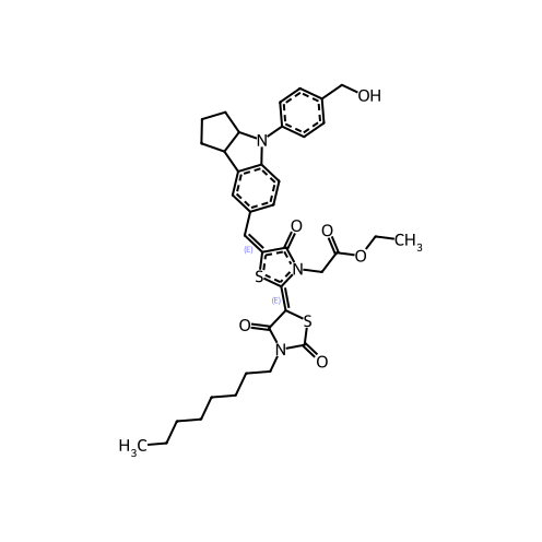 CCCCCCCCN1C(=O)S/C(=c2/s/c(=C/c3ccc4c(c3)C3CCCC3N4c3ccc(CO)cc3)c(=O)n2CC(=O)OCC)C1=O